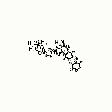 CC(C)(C)OC(=O)N1CC[C@H](n2cc(C(N)=O)c(-c3ccc(Oc4ccccc4)cc3)n2)C1